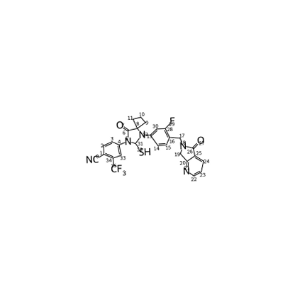 N#Cc1ccc(N2C(=O)C3(CCC3)N(c3ccc(CN4Cc5ncccc5C4=O)c(F)c3)C2S)cc1C(F)(F)F